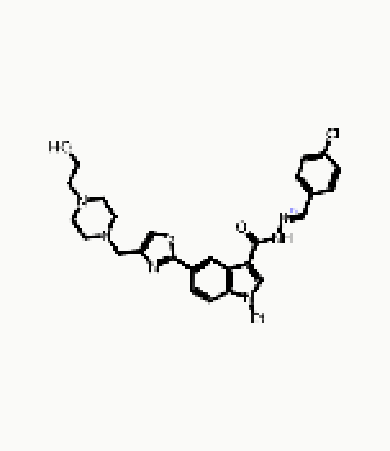 CCn1cc(C(=O)N/N=C/c2ccc(Cl)cc2)c2cc(-c3nc(CN4CCN(CCO)CC4)cs3)ccc21